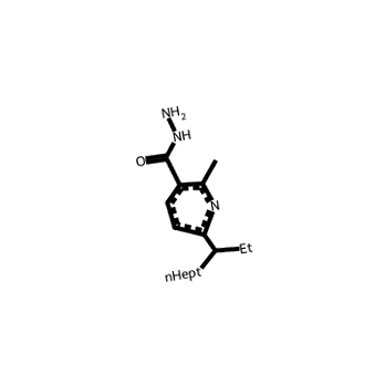 CCCCCCCC(CC)c1ccc(C(=O)NN)c(C)n1